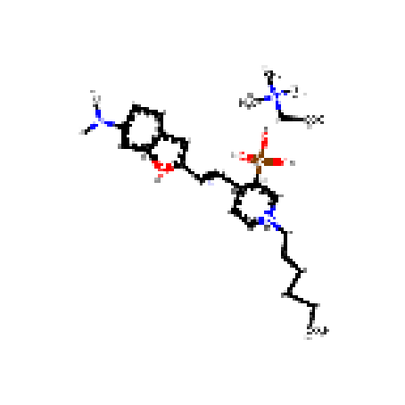 CCN(CC)c1ccc2cc(/C=C/c3cc[n+](CCCCCC(=O)O)cc3S(=O)(=O)[O-])oc2c1.C[N+](C)(C)CC(=O)[O-]